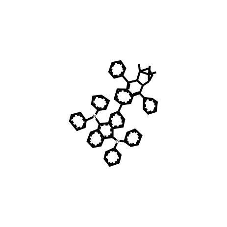 CC1(C)C2CCC1(C)C1C(c3ccccc3)=c3ccc(-c4ccc5c(N(c6ccccc6)c6ccccc6)c6ccccc6c(N(c6ccccc6)c6ccccc6)c5c4)cc3=C(c3ccccc3)C21